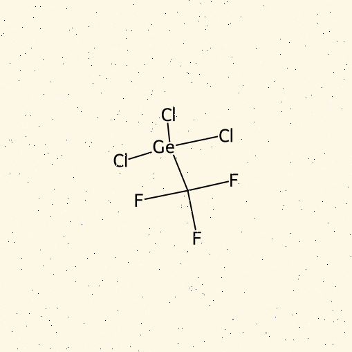 F[C](F)(F)[Ge]([Cl])([Cl])[Cl]